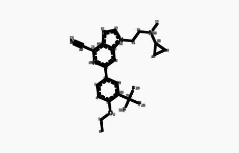 CCOc1ccc(-c2cc3c(ncn3CCN(C)C3CC3)c(C#N)n2)cc1C(F)(F)F